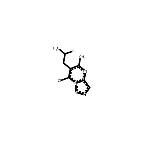 Cc1nc2cnnn2c(Cl)c1CC(C)Cl